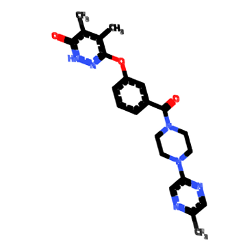 Cc1c(Oc2cccc(C(=O)N3CCN(c4cnc(C(F)(F)F)cn4)CC3)c2)n[nH]c(=O)c1C(F)(F)F